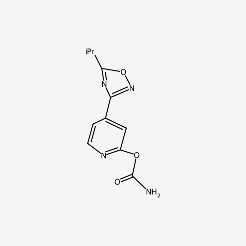 CC(C)c1nc(-c2ccnc(OC(N)=O)c2)no1